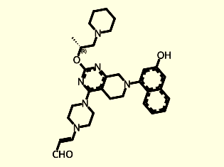 C[C@H](CN1CCCCC1)Oc1nc2c(c(N3CCN(C=CC=O)CC3)n1)CCN(c1cc(O)cc3ccccc13)C2